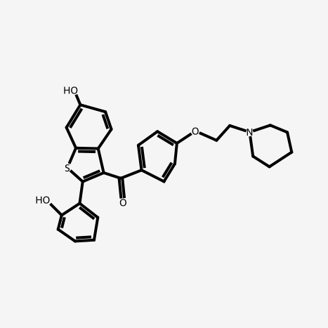 O=C(c1ccc(OCCN2CCCCC2)cc1)c1c(-c2ccccc2O)sc2cc(O)ccc12